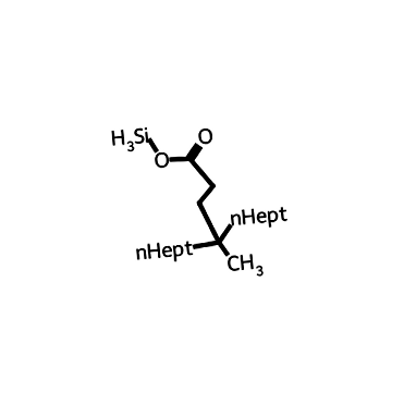 CCCCCCCC(C)(CCCCCCC)CCC(=O)O[SiH3]